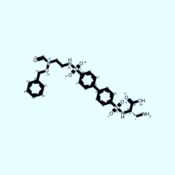 NC[C@H](NS(=O)(=O)c1ccc(-c2ccc(S(=O)(=O)NCCN(C=O)OCc3ccccc3)cc2)cc1)C(=O)O